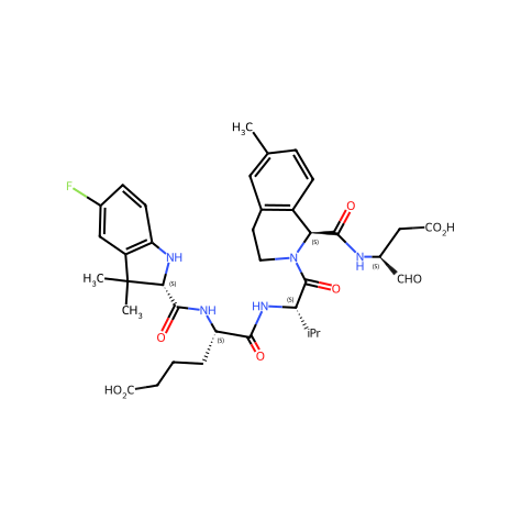 Cc1ccc2c(c1)CCN(C(=O)[C@@H](NC(=O)[C@H](CCCC(=O)O)NC(=O)[C@H]1Nc3ccc(F)cc3C1(C)C)C(C)C)[C@@H]2C(=O)N[C@H](C=O)CC(=O)O